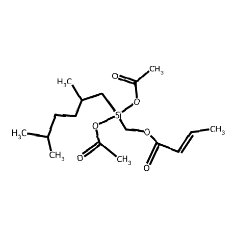 CC=CC(=O)OC[Si](CC(C)CCC(C)C)(OC(C)=O)OC(C)=O